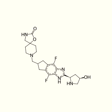 O=C1NCC2(CCN(CC3Cc4c(c(F)c5[nH]c([C@H]6C[C@@H](O)CN6)nc5c4F)C3)CC2)O1